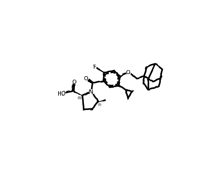 C[C@H]1CC[C@@H](C(=O)O)N1C(=O)c1cc(C2CC2)c(OCC23CC4CC(CC(C4)C2)C3)cc1F